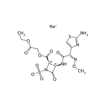 CCOC(=O)COC(=O)[C@H]1[C@@H](NC(=O)C(=NOC)c2csc(N)n2)C(=O)N1S(=O)(=O)[O-].[Na+]